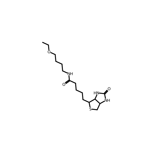 CCOCCCCNC(=O)CCCCC1SCC2NC(=O)NC21